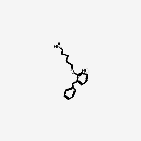 CNCCCCCOc1ccccc1Cc1ccccc1.Cl